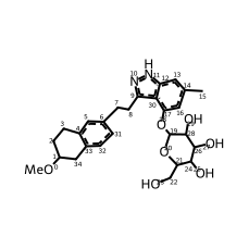 COC1CCc2cc(CCc3n[nH]c4cc(C)cc(OC5OC(CO)C(O)C(O)C5O)c34)ccc2C1